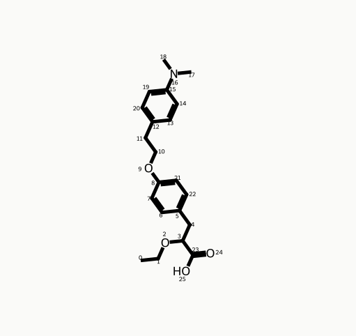 CCOC(Cc1ccc(OCCc2ccc(N(C)C)cc2)cc1)C(=O)O